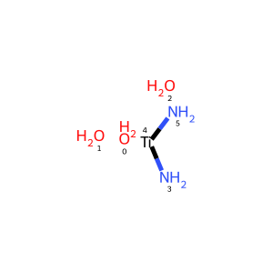 O.O.O.[NH2][Ti][NH2]